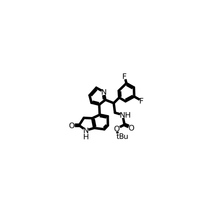 CC(C)(C)OC(=O)NCC(c1cc(F)cc(F)c1)c1ncccc1-c1cccc2c1CC(=O)N2